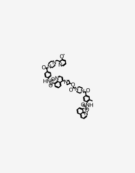 COc1cccnc1CN1CCN(C(=O)c2ccc(NS(=O)(=O)c3cccc4c(N5CC(OC(=O)N6CCN(C(=O)c7ccc(NS(=O)(=O)c8cccc9cccnc89)c(C)c7)CC6)C5)ccnc34)cc2)CC1